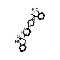 O=C(Nc1ccccc1F)Oc1ccc(N2CCN(C(=O)c3ccccc3C(F)(F)F)CC2)nn1